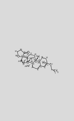 CCOC1=CC2=CC[C@@H]3[C@H](CC[C@@]4(C)[C@H]3CC[C@]43OCCC3=O)[C@H]2CC1